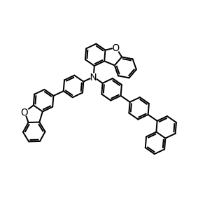 c1ccc2c(-c3ccc(-c4ccc(N(c5ccc(-c6ccc7oc8ccccc8c7c6)cc5)c5cccc6oc7ccccc7c56)cc4)cc3)cccc2c1